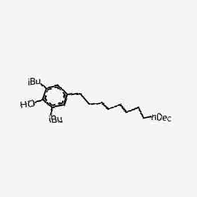 CCCCCCCCCCCCCCCCCCc1cc(C(C)CC)c(O)c(C(C)CC)c1